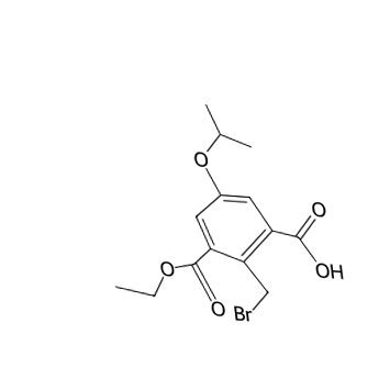 CCOC(=O)c1cc(OC(C)C)cc(C(=O)O)c1CBr